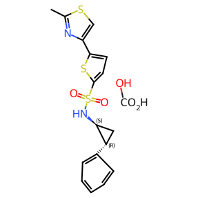 Cc1nc(-c2ccc(S(=O)(=O)N[C@H]3C[C@@H]3c3ccccc3)s2)cs1.O=C(O)O